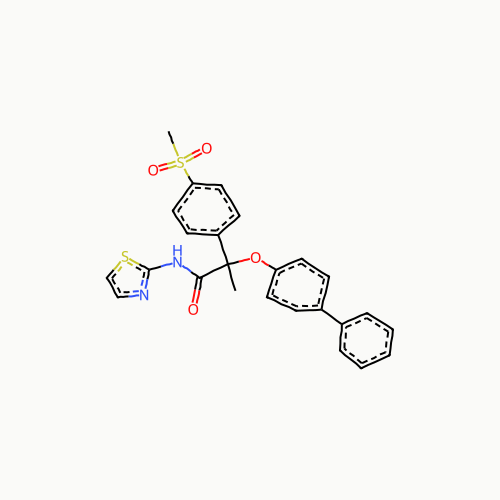 CC(Oc1ccc(-c2ccccc2)cc1)(C(=O)Nc1nccs1)c1ccc(S(C)(=O)=O)cc1